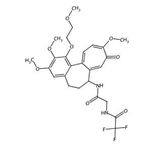 COCCOc1c(OC)c(OC)cc2c1-c1ccc(OC)c(=O)cc1C(NC(=O)CNC(=O)C(F)(F)F)CC2